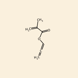 C=C=COC(=O)C(=C)C